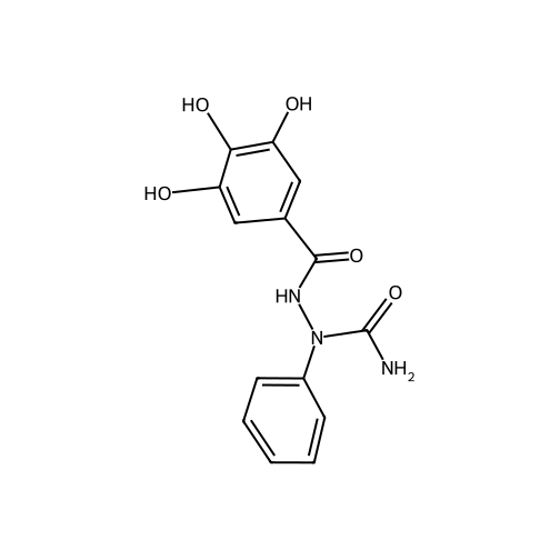 NC(=O)N(NC(=O)c1cc(O)c(O)c(O)c1)c1ccccc1